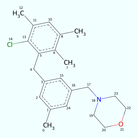 Cc1cc(Cc2c(C)c(C)cc(C)c2Cl)cc(CN2CCOCC2)c1